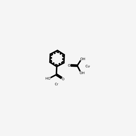 O=C(O)O.O=C(O)c1ccccc1.[Cr].[Cu]